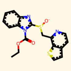 CCOC(=O)n1c([S+]([O-])Cc2nccc3ccsc23)nc2ccccc21